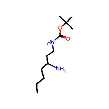 CCCCC(N)CCNC(=O)OC(C)(C)C